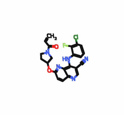 C=CC(=O)N1CCC(Oc2ccc3ncc(C#N)c(Nc4cccc(Cl)c4F)c3n2)C1